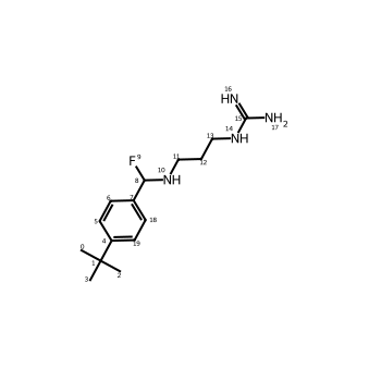 CC(C)(C)c1ccc(C(F)NCCCNC(=N)N)cc1